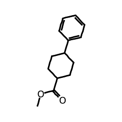 COC(=O)C1CCC(c2ccccc2)CC1